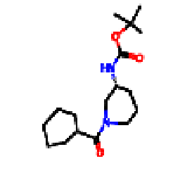 CC(C)(C)OC(=O)N[C@@H]1CCCN(C(=O)C2CCCCC2)C1